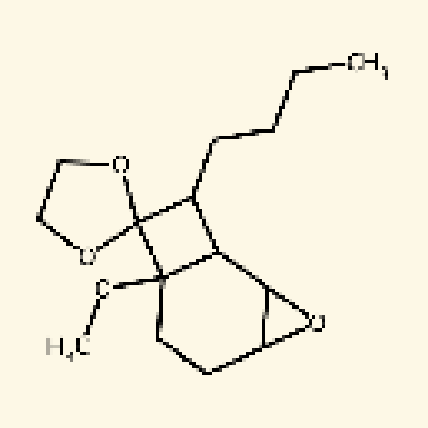 CCCCC1C2C3OC3CCC2(OC)C12OCCO2